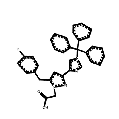 O=C(O)Cn1nc(-c2cn(C(c3ccccc3)(c3ccccc3)c3ccccc3)cn2)cc1Cc1ccc(F)cc1